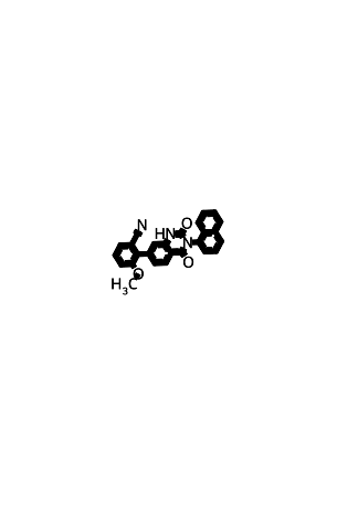 COc1cccc(C#N)c1-c1ccc2c(=O)n(-c3cccc4ccccc34)c(=O)[nH]c2c1